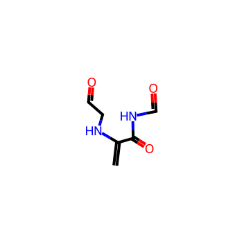 C=C(NCC=O)C(=O)NC=O